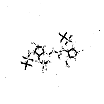 [2H]C[C@H]1O[C@@H](C)[C@@H](O[Si](C)(C)C(C)(C)C)C1OP(C)OC[C@H]1O[C@@H](C)[C@@H](O[Si](C)(C)C(C)(C)C)C1O[PH](=O)O